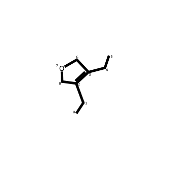 CCC1=C(CC)COC1